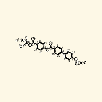 CCCCCCCCCCOc1ccc(-c2ccc(C(=O)Oc3ccc(C(=O)OC(CC)CCCCCC)cc3)cc2)cc1